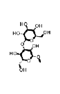 CO[C@@H]1O[C@H](CO)[C@@H](O)[C@H](O[C@@H]2O[C@H](CO)[C@H](O)[C@H](O)[C@H]2O)[C@H]1O